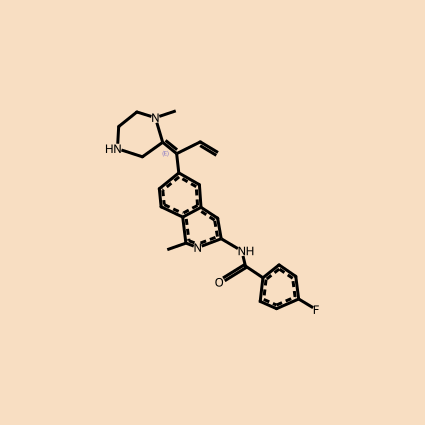 C=C/C(=C1/CNCCN1C)c1ccc2c(C)nc(NC(=O)c3ccc(F)cc3)cc2c1